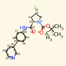 CC(C)(C)OC(=O)N1C[C@@H](F)C[C@@H]1C(=O)Nc1ccc(-c2cccnc2)cc1